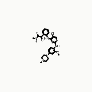 CNC(=O)C(=O)c1ccccc1Nc1nc(Nc2ccc(N3CCN(C)CC3)cc2OC)ncc1Cl